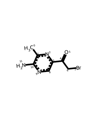 Cc1nc(C(=O)CBr)cnc1N